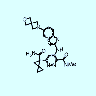 CNC(=O)c1nnc([C@@]2(C(N)=O)CC23CC3)cc1Nc1nc2ccc(N3CC4(COC4)C3)cn2n1